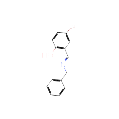 Oc1ccc(Br)cc1C=NCc1ccccc1